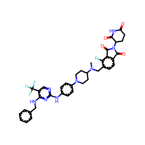 CN(Cc1ccc2c(c1F)C(=O)N(C1CCC(=O)NC1=O)C2=O)C1CCN(c2ccc(Nc3ncc(C(F)(F)F)c(NCc4ccccc4)n3)cc2)CC1